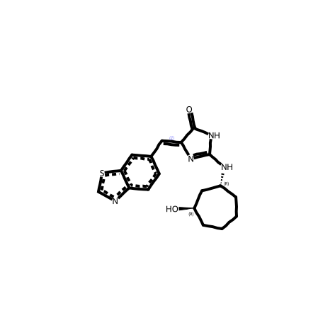 O=C1NC(N[C@@H]2CCCC[C@@H](O)C2)=N/C1=C\c1ccc2ncsc2c1